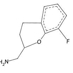 NCC1CCc2cccc(F)c2O1